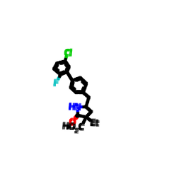 CCC1(C(=O)O)CC(Cc2ccc(-c3cc(Cl)ccc3F)cc2)NC1=O